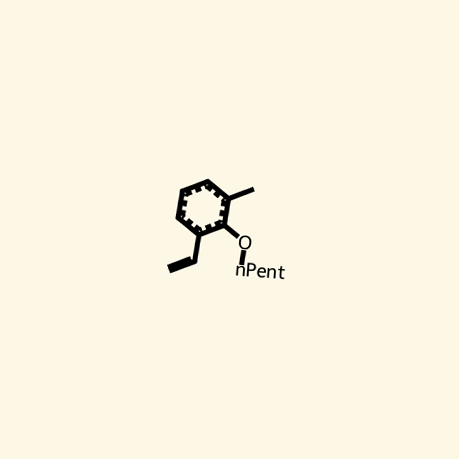 C=Cc1cccc(C)c1OCCCCC